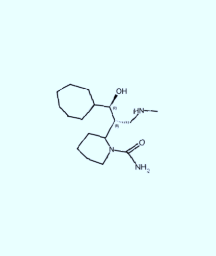 CNC[C@H](C1CCCCN1C(N)=O)[C@H](O)C1CCCCCC1